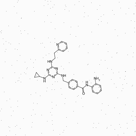 Nc1ccccc1NC(=O)c1ccc(CNc2nc(NCCc3ccccn3)nc(NC3CC3)n2)cc1